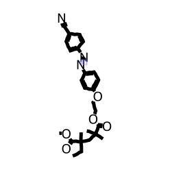 CCC(C)(CC(C)(C)C(=O)OCCOc1ccc(/N=N/c2ccc(C#N)cc2)cc1)C(=O)OC